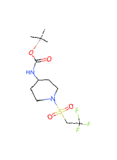 CC(C)(C)OC(=O)NC1CCN(S(=O)(=O)CC(F)(F)F)CC1